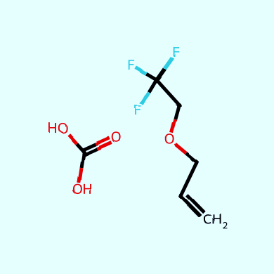 C=CCOCC(F)(F)F.O=C(O)O